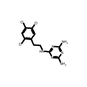 Nc1nc(N)nc(NCCc2cc(Cl)c(Cl)cc2Cl)n1